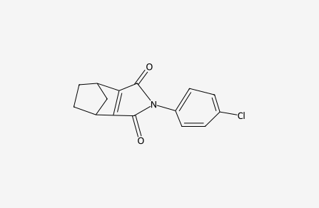 O=C1C2=C(C(=O)N1c1ccc(Cl)cc1)C1CCC2C1